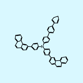 C1=CC(c2ccc(-c3ccc(N(c4ccc(-c5ccc6ccc7ccccc7c6c5)cc4)c4ccc(-c5ccc6ccc7ccccc7c6c5)cc4)cc3)cc2)=CCC1